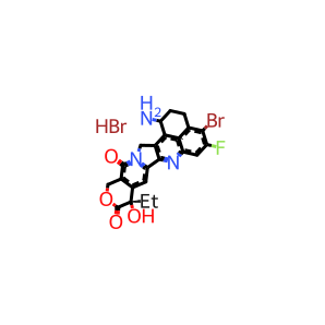 Br.CC[C@@]1(O)C(=O)OCc2c1cc1n(c2=O)Cc2c-1nc1cc(F)c(Br)c3c1c2C(N)CC3